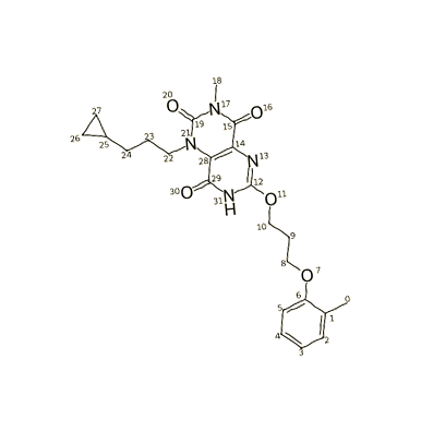 Cc1ccccc1OCCCOc1nc2c(=O)n(C)c(=O)n(CCCC3CC3)c2c(=O)[nH]1